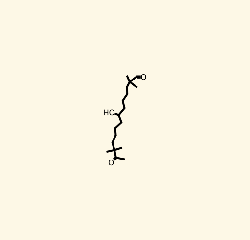 CC(=O)C(C)(C)CCCCC(O)CCCCC(C)(C)C=O